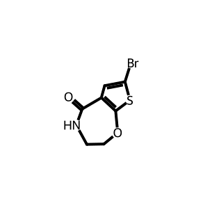 O=C1NCCOc2sc(Br)cc21